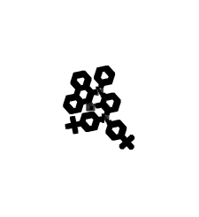 CC(C)(C)c1ccc(N(c2ccc(C(C)(C)C)cc2)c2cccc(N(c3ccccc3)c3cc4ccccc4c4ccccc34)c2Br)cc1